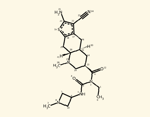 CCN(C(=O)NC1CN(C)C1)C(=O)[C@@H]1C[C@@H]2Cc3c(sc(N)c3C#N)C[C@H]2N(C)C1